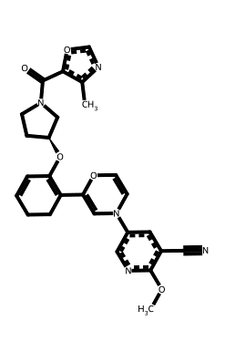 COc1ncc(N2C=COC(C3=C(O[C@H]4CCN(C(=O)c5ocnc5C)C4)C=CCC3)=C2)cc1C#N